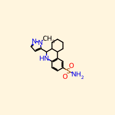 Cn1nccc1C1Nc2ccc(S(N)(=O)=O)cc2C2CCCCC21